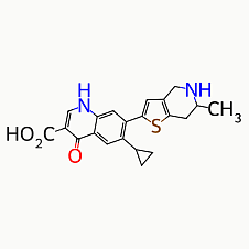 CC1Cc2sc(-c3cc4[nH]cc(C(=O)O)c(=O)c4cc3C3CC3)cc2CN1